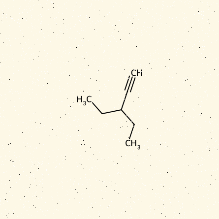 C#CC(CC)CC